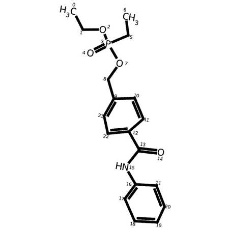 CCOP(=O)(CC)OCc1ccc(C(=O)Nc2ccccc2)cc1